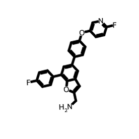 NCc1cc2cc(-c3ccc(Oc4ccc(F)nc4)cc3)cc(-c3ccc(F)cc3)c2o1